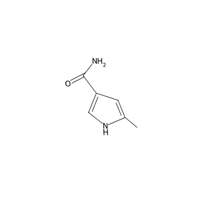 Cc1cc(C(N)=O)c[nH]1